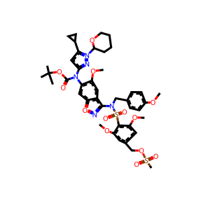 COc1ccc(CN(c2noc3cc(N(C(=O)OC(C)(C)C)c4cc(C5CC5)n(C5CCCCO5)n4)c(OC)cc23)S(=O)(=O)c2c(OC)cc(COS(C)(=O)=O)cc2OC)cc1